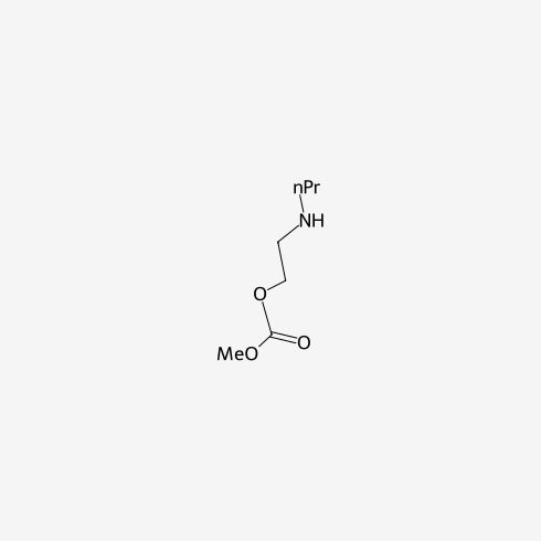 CCCNCCOC(=O)OC